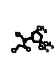 CCN(C(=O)CCl)C1=CC(C)CC(C)(C)C1